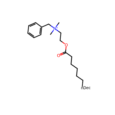 CCCCCCCCCCCCCCCC(=O)OCC[N+](C)(C)Cc1ccccc1